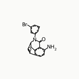 Nc1ccc2c3c1C(=O)N(c1cccc(Br)c1)C(C=C2)C3=O